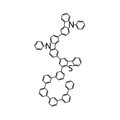 c1ccc(-c2cccc(-c3cccc(-c4cccc(-c5cccc(-c6cccc(-c7cc(-c8ccc9c(c8)c8cc(-c%10ccc%11c(c%10)c%10ccccc%10n%11-c%10ccccc%10)ccc8n9-c8ccccc8)cc8c7sc7ccccc78)c6)c5)c4)c3)c2)cc1